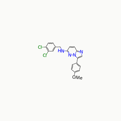 COc1ccc(-c2cnc3ccc(NCc4ccc(Cl)c(Cl)c4)nn23)cc1